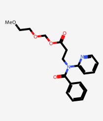 COCCOCOC(=O)CCN(C(=O)C1=CC=C=C=C1)c1ccccn1